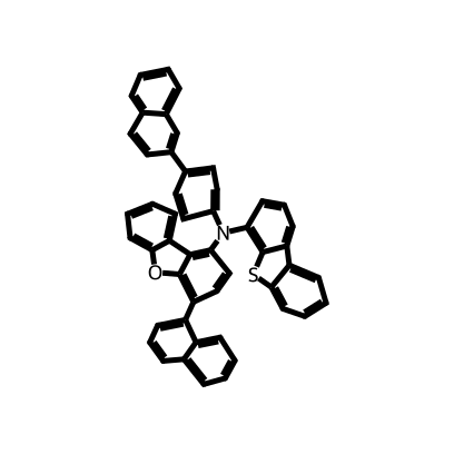 c1ccc2cc(-c3ccc(N(c4cccc5c4sc4ccccc45)c4ccc(-c5cccc6ccccc56)c5oc6ccccc6c45)cc3)ccc2c1